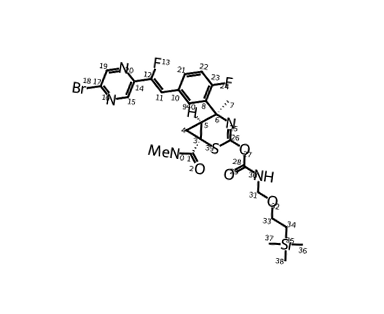 CNC(=O)[C@]12C[C@H]1[C@@](C)(c1cc(/C=C(\F)c3cnc(Br)cn3)ccc1F)N=C(OC(=O)NCOCC[Si](C)(C)C)S2